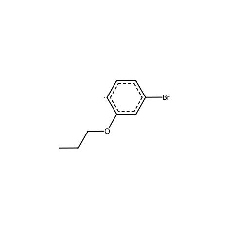 CCCOc1[c]ccc(Br)c1